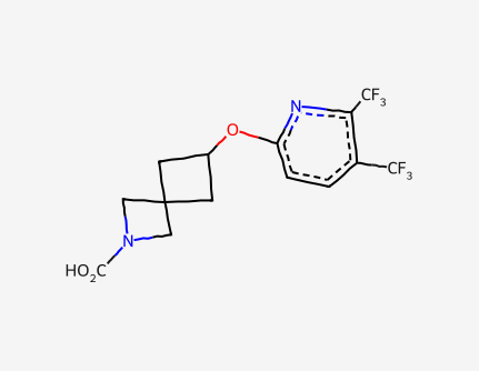 O=C(O)N1CC2(CC(Oc3ccc(C(F)(F)F)c(C(F)(F)F)n3)C2)C1